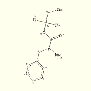 NC(Cc1ccccc1)C(=O)OC(Cl)(Cl)CCl